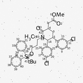 COC(=O)CC1CC(c2cccc(Cl)c2)C(c2ccc(Cl)cc2)N([C@@H](C)CCO[Si](c2ccccc2)(c2ccccc2)C(C)(C)C)C1=O